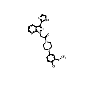 O=C(Cn1nc(-c2ncc[nH]2)c2cccnc21)N1CCN(c2ccc(Cl)c(OC(F)(F)F)c2)CC1